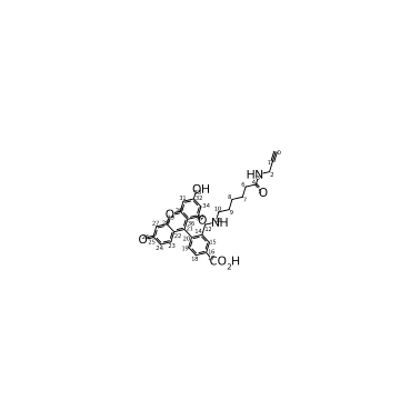 C#CCNC(=O)CCCCCNC(=O)c1cc(C(=O)O)ccc1-c1c2ccc(=O)cc-2oc2cc(O)ccc12